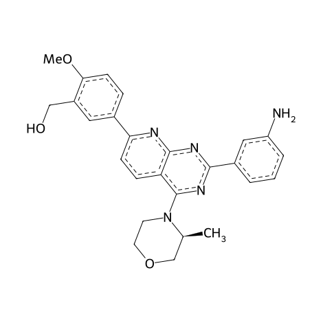 COc1ccc(-c2ccc3c(N4CCOC[C@@H]4C)nc(-c4cccc(N)c4)nc3n2)cc1CO